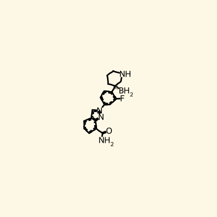 B[C@@]1(c2ccc(-n3cc4cccc(C(N)=O)c4n3)cc2F)CCCNC1